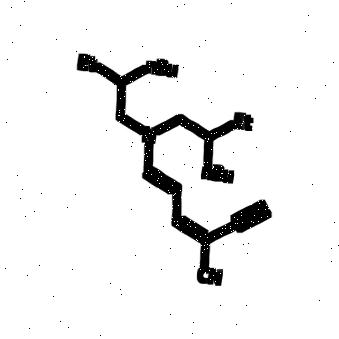 C#CC(C#N)=CC=CN(CC(CC)CCCC)CC(CC)CCCC